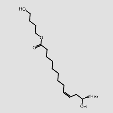 CCCCCC[C@@H](O)C/C=C\CCCCCCCC(=O)OCCCCO